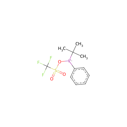 CC(C)(C)[I+](OS(=O)(=O)C(F)(F)F)c1ccccc1